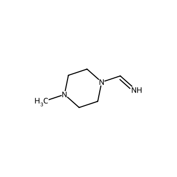 CN1CCN(C=N)CC1